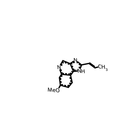 CC=Cc1nc2cnc3cc(OC)ccc3c2[nH]1